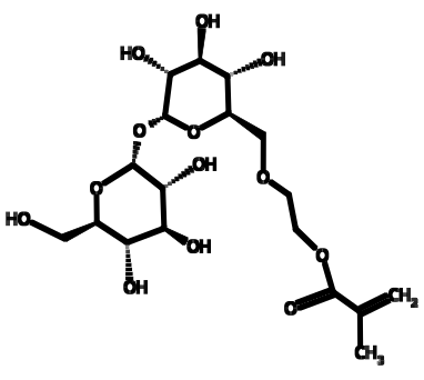 C=C(C)C(=O)OCCOC[C@H]1O[C@H](O[C@H]2O[C@H](CO)[C@@H](O)[C@H](O)[C@H]2O)[C@H](O)[C@@H](O)[C@@H]1O